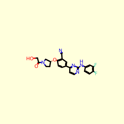 N#Cc1cc(-c2ccnc(Nc3ccc(F)c(F)c3)n2)ccc1O[C@@H]1CCN(C(=O)CO)C1